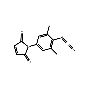 Cc1cc(N2C(=O)C=CC2=O)cc(C)c1N=C=S